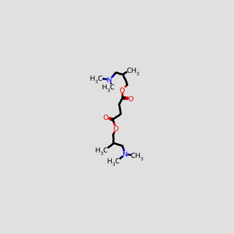 CC(COC(=O)CCC(=O)OCC(C)CN(C)C)CN(C)C